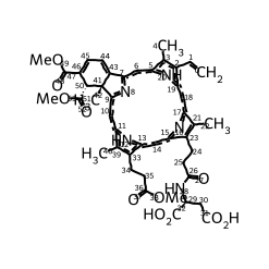 C=Cc1c(C)c2cc3nc(cc4[nH]c(cc5nc(cc1[nH]2)C(C)=C5CCC(=O)N[C@@H](CC(=O)O)C(=O)O)c(CCC(=O)OC)c4C)[C@@]1(C)C3=CC=C(C(=O)OC)[C@H]1C(=O)OC